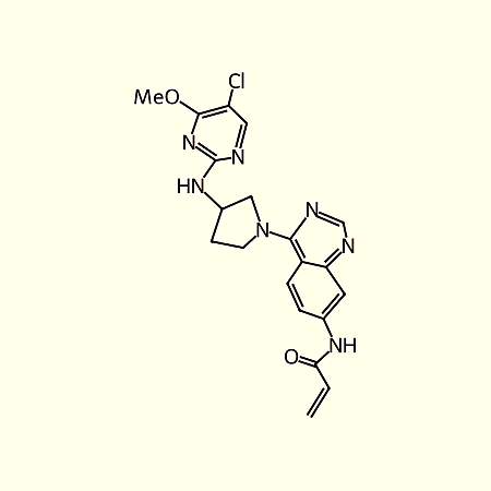 C=CC(=O)Nc1ccc2c(N3CCC(Nc4ncc(Cl)c(OC)n4)C3)ncnc2c1